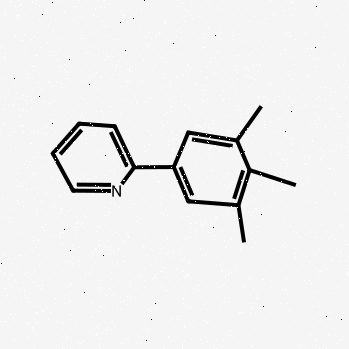 Cc1cc(-c2ccccn2)cc(C)c1C